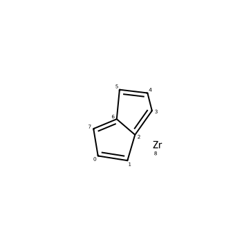 C1=CC2=CC=CC2=C1.[Zr]